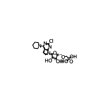 O=P(O)(O)COC[C@H]1O[C@@H](n2ccc3c(N4CCCCC4)nc(Cl)nc32)[C@H](O)[C@@H]1O